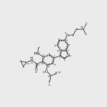 CNc1cc(-c2cnc3cc(OCCN(C)C)ccn23)cc(OC(F)F)c1C(=O)NC1CC1